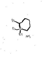 CCC1CCCC[Si]1(CC)CC.N